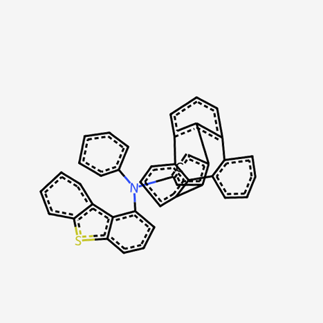 c1ccc(N(c2ccc3c(c2)-c2cccc4c2-c2ccccc2-c2cccc-4c2-3)c2cccc3sc4ccccc4c23)cc1